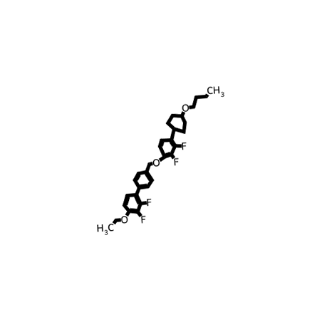 CCCCOC1CCC(c2ccc(OCc3ccc(-c4ccc(OCC)c(F)c4F)cc3)c(F)c2F)CC1